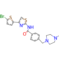 CN1CCN(Cc2ccc(C(=O)Nc3nc(-c4ccc(Br)s4)cs3)cc2)CC1